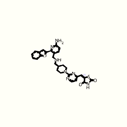 Nc1ccc(CNCC2CCN(c3nccc(/C=C4/SC(=O)NC4=O)n3)CC2)c(-c2cc3ccccc3o2)n1